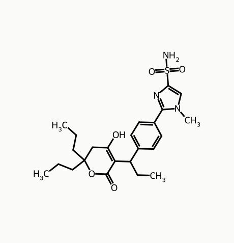 CCCC1(CCC)CC(O)=C(C(CC)c2ccc(-c3nc(S(N)(=O)=O)cn3C)cc2)C(=O)O1